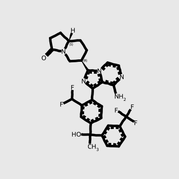 CC(O)(c1cccc(C(F)(F)F)c1)c1ccc(-c2nc([C@@H]3CC[C@H]4CCC(=O)N4C3)n3ccnc(N)c23)c(C(F)F)c1